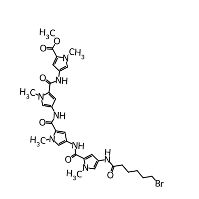 COC(=O)c1cc(NC(=O)c2cc(NC(=O)c3cc(NC(=O)c4cc(NC(=O)CCCCCBr)cn4C)cn3C)cn2C)cn1C